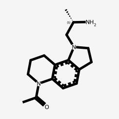 CC(=O)N1CCCc2c1ccc1c2N(C[C@H](C)N)CC1